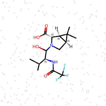 CC(C)[C@H](NC(=O)C(F)(F)F)C(O)N1C[C@H]2[C@@H]([C@H]1C(=O)O)C2(C)C